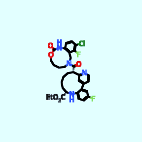 CCOC(=O)[C@@H]1CCCC[C@H](C(=O)N2CCCCOC(=O)Nc3ccc(Cl)c(F)c3C2)c2cc(ccn2)-c2cc(F)ccc2N1